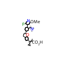 COc1cc(-c2ccc([C@H]3CCc4ccc([C@H](C5CC5)[C@H](C)C(=O)O)cc4O3)cc2[C@H](C)N(C)C)c(F)cn1